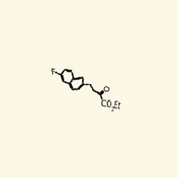 CCOC(=O)C(=O)CCc1ccc2cc(F)ccc2c1